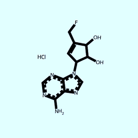 Cl.Nc1ncnc2c1ncn2C1C=C(CF)C(O)C1O